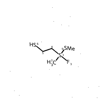 CSS(C)(F)CCS